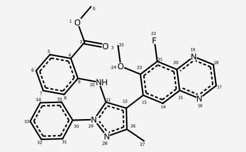 COC(=O)c1ccccc1Nc1c(-c2cc3nccnc3c(F)c2OC)c(C)nn1-c1ccccc1